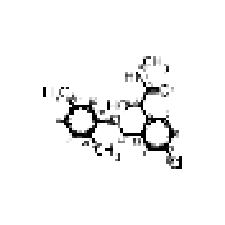 CNC(=O)C(O)c1ccc(Cl)cc1COc1cc(C)ccc1C